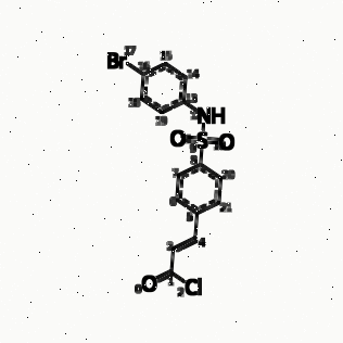 O=C(Cl)C=Cc1ccc(S(=O)(=O)Nc2ccc(Br)cc2)cc1